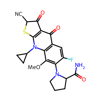 COc1c(N2CCCC2C(N)=O)c(F)cc2c(=O)c3c(n(C4CC4)c12)SC(C#N)C3=O